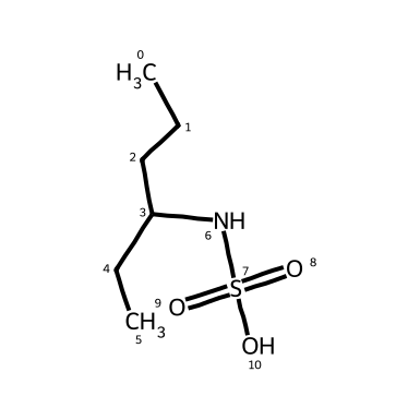 CCCC(CC)NS(=O)(=O)O